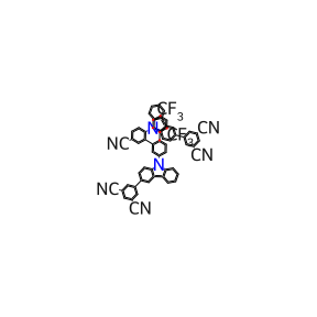 N#Cc1cc(C#N)cc(-c2ccc3c(c2)c2ccccc2n3-c2ccc(-c3ccc(C(F)(F)F)cc3C(F)(F)F)c(-c3cc(C#N)ccc3-n3c4ccccc4c4cc(-c5cc(C#N)cc(C#N)c5)ccc43)c2)c1